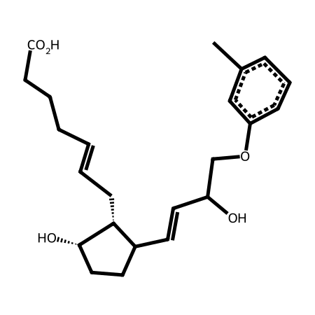 Cc1cccc(OCC(O)/C=C/C2CC[C@H](O)[C@@H]2C/C=C/CCCC(=O)O)c1